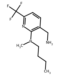 CCCCN(C)c1nc(C(F)(F)F)ccc1CN